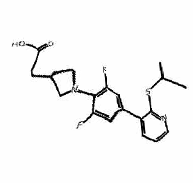 CC(C)Sc1ncccc1-c1cc(F)c(N2CC(CC(=O)O)C2)c(F)c1